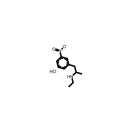 CCNC(C)Cc1cccc([N+](=O)[O-])c1.Cl